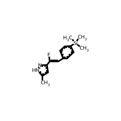 Cc1cc(C(F)=Cc2ccc([Si](C)(C)C)cc2)n[nH]1